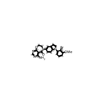 COc1cccc(-n2ccc3cc(N4CCOc5ncnc(N)c5C4=O)ccc32)c1Br